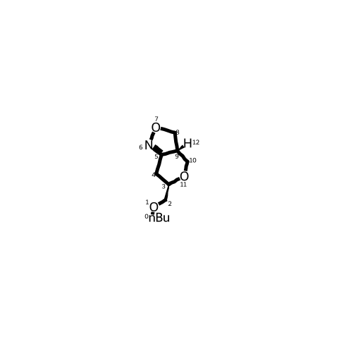 CCCCOC[C@H]1CC2=NOC[C@@H]2CO1